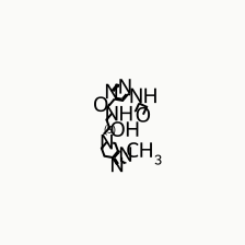 Cn1cnc2c1CN(C[C@@H](O)CNC(=O)c1cc(NC3COC3)ncn1)CC2